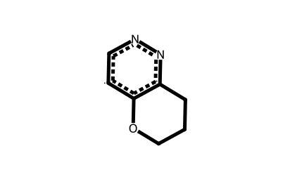 [c]1cnnc2c1OCCC2